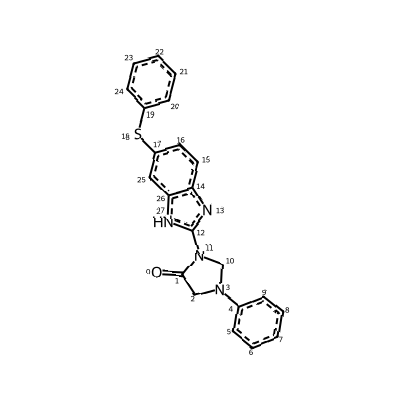 O=C1CN(c2ccccc2)CN1c1nc2ccc(Sc3ccccc3)cc2[nH]1